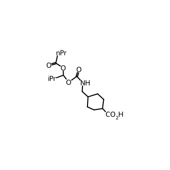 CCCC(=O)OC(OC(=O)NCC1CCC(C(=O)O)CC1)C(C)C